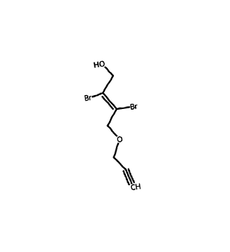 C#CCOC/C(Br)=C(\Br)CO